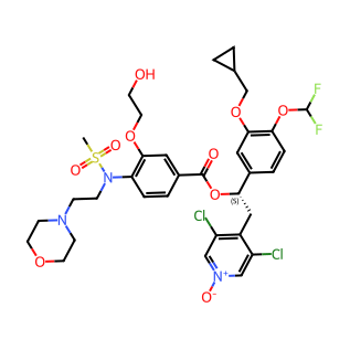 CS(=O)(=O)N(CCN1CCOCC1)c1ccc(C(=O)O[C@@H](Cc2c(Cl)c[n+]([O-])cc2Cl)c2ccc(OC(F)F)c(OCC3CC3)c2)cc1OCCO